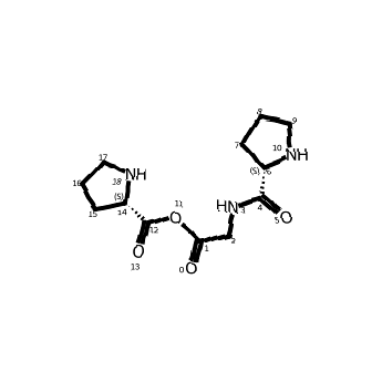 O=C(CNC(=O)[C@@H]1CCCN1)OC(=O)[C@@H]1CCCN1